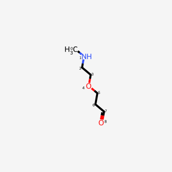 CNCCOCCC=O